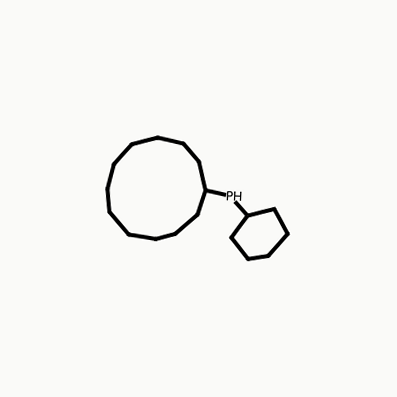 C1CCCCCC(PC2CCCCC2)CCCCC1